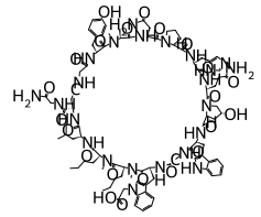 CCCC[C@H]1C(=O)N(C)[C@@H](CCCC)C(=O)N[C@@H](CC(C)C)C(=O)N[C@H](C(=O)NCC(N)=O)CCNCC(=O)N[C@@H](Cc2ccc(O)cc2)C(=O)N(C)[C@@H](C)C(=O)N[C@@H](CC(N)=O)C(=O)N2CCC[C@H]2C(=O)N[C@@H](Cc2cnc[nH]2)C(=O)N[C@@H](CCC(N)=O)C(=O)N2C[C@H](O)C[C@H]2C(=O)N[C@@H](Cc2c[nH]c3ccccc23)C(=O)NCC(=O)N[C@@H](Cc2cn(CC(=O)O)c3ccccc23)C(=O)N1C